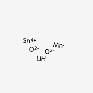 [LiH].[Mn].[O-2].[O-2].[Sn+4]